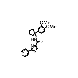 COc1ccc(C2(CNC(=O)c3csc(-c4ccccc4)n3)CCCC2)cc1OC